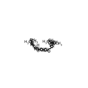 CCCC(c1ccc(CCC(=O)N2CCC(N3CCC(C(=O)Nc4ncc(SCc5ncc(C(C)(C)C)o5)s4)CC3)CC2)cc1)N(C)C(=O)OC(C)(C)C